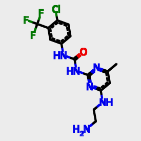 Cc1cc(NCCN)nc(NC(=O)Nc2ccc(Cl)c(C(F)(F)F)c2)n1